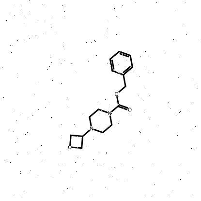 O=C(OCc1ccccc1)N1CCN(C2COC2)CC1